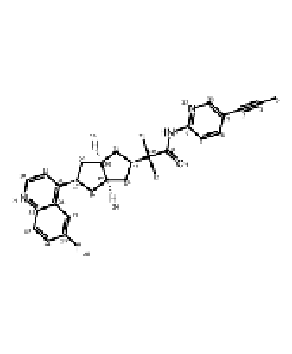 CC#Cc1ccc(NC(=O)C(C)(C)[C@H]2C[C@H]3C[C@@H](c4ccnc5ccc(F)cc45)C[C@H]3C2)nc1